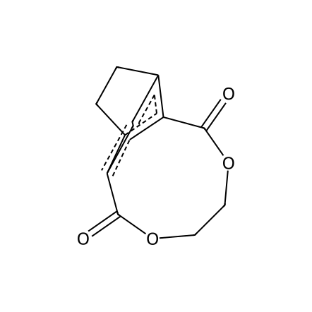 O=C1OCCOC(=O)c2c3ccc1c2CC3